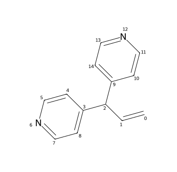 C=CC(c1ccncc1)c1ccncc1